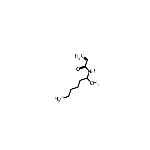 C=CC(=O)NC(C)CCCCC